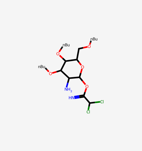 CCCCOCC1OC(OC(=N)C(Cl)Cl)C(N)C(OCCCC)C1OCCCC